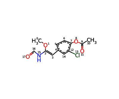 COC(=Cc1ccc(OC(C)=O)c(Cl)c1)NC=O